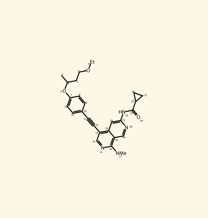 CCOCCC(C)Oc1ccc(C#Cc2cnc(NC)c3cnc(NC(=O)C4CC4)cc23)cc1